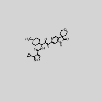 CC1CCC(C(NC(=O)c2conc2C2CC2)C(=O)Nc2cc3c(cn2)C2(CCOCC2)C(=O)N3)CC1